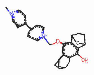 C[n+]1ccc(-c2cc[n+](COc3c4c(c(O)c5c3C3CCC5C3)C3CCC4CC3)cc2)cc1